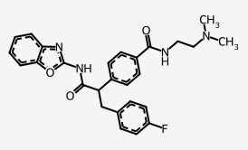 CN(C)CCNC(=O)c1ccc(C(Cc2ccc(F)cc2)C(=O)Nc2nc3ccccc3o2)cc1